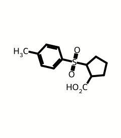 Cc1ccc(S(=O)(=O)C2CCCC2C(=O)O)cc1